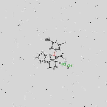 C[C](C)=[Ti]([O]c1cc(C)cc(C(C)(C)C)c1)[C]1(C)C=CC=C2C1=Cc1ccccc12.Cl.Cl